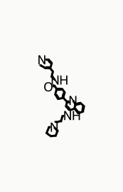 O=C(NCCc1ccncc1)c1ccc(-c2cc(NCCCN3CCCCC3)c3ccccc3n2)cc1